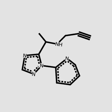 C#CCNC(C)c1ncnn1-c1ccccn1